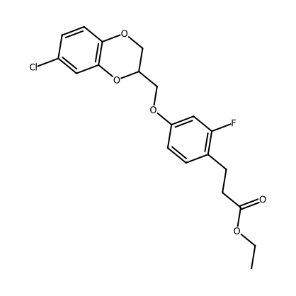 CCOC(=O)CCc1ccc(OCC2COc3ccc(Cl)cc3O2)cc1F